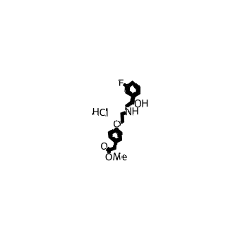 COC(=O)Cc1ccc(OCCNCC(O)c2cccc(F)c2)cc1.Cl